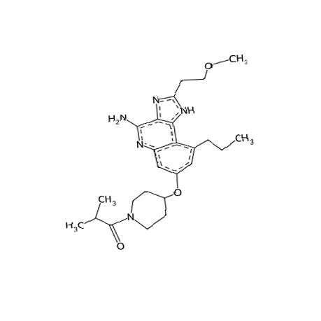 CCCc1cc(OC2CCN(C(=O)C(C)C)CC2)cc2nc(N)c3nc(CCOC)[nH]c3c12